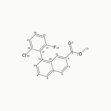 COC(=O)c1ccc2cccc(-c3c(F)cccc3Cl)c2c1